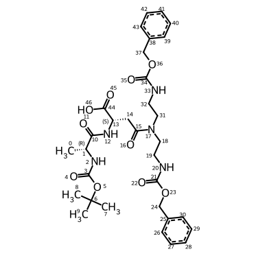 C[C@@H](NC(=O)OC(C)(C)C)C(=O)N[C@@H](CC(=O)N(CCNC(=O)OCc1ccccc1)CCNC(=O)OCc1ccccc1)C(=O)O